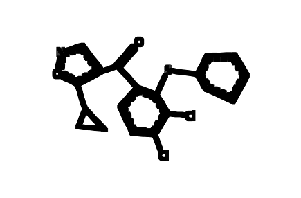 O=C(c1cnoc1C1CC1)c1ccc(Cl)c(Cl)c1Sc1ccccc1